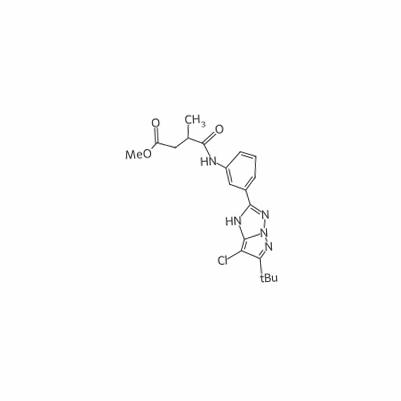 COC(=O)CC(C)C(=O)Nc1cccc(-c2nn3nc(C(C)(C)C)c(Cl)c3[nH]2)c1